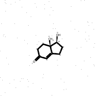 C[C@]12CCC(=O)C=C1CC[C@@H]2O